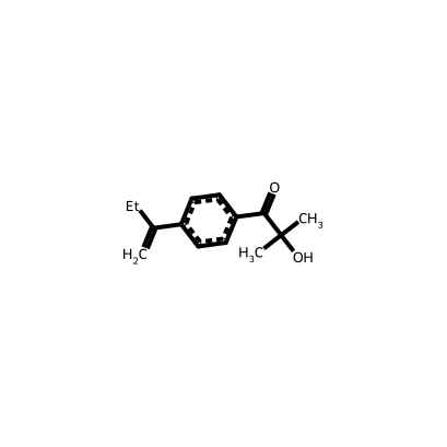 C=C(CC)c1ccc(C(=O)C(C)(C)O)cc1